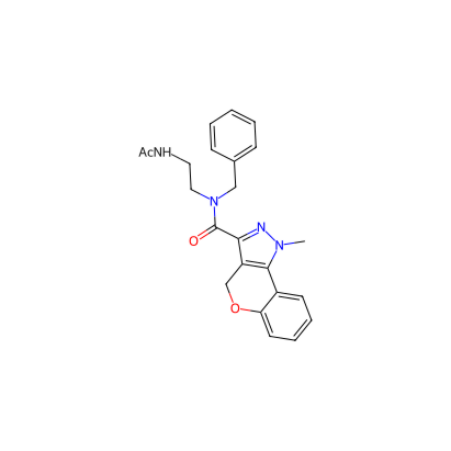 CC(=O)NCCN(Cc1ccccc1)C(=O)c1nn(C)c2c1COc1ccccc1-2